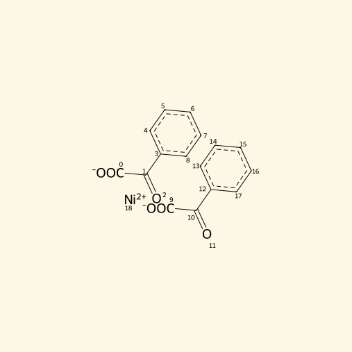 O=C([O-])C(=O)c1ccccc1.O=C([O-])C(=O)c1ccccc1.[Ni+2]